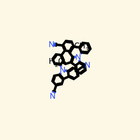 C=Cc1c(/C=C\C)n(-c2ccccc2-c2ccc(C#N)c(-c3cccc(-n4c5ccc(C#N)cc5c5ccc(C#N)cc54)c3)c2)c2ccccc12